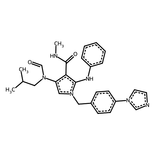 CNC(=O)c1c(N(C=O)CC(C)C)cn(Cc2ccc(-n3ccnc3)cc2)c1Nc1ccccc1